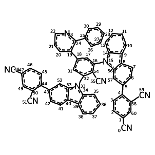 N#Cc1ccc(-c2ccc3c4ccccc4n(-c4cc(-c5cccnc5-c5ccccc5)cc(-n5c6ccccc6c6ccc(-c7ccc(C#N)cc7C#N)cc65)c4C#N)c3c2)c(C#N)c1